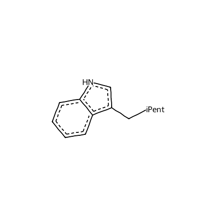 CCCC(C)Cc1c[nH]c2ccccc12